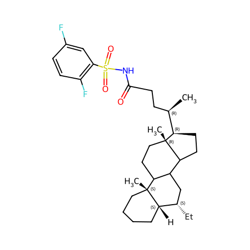 CC[C@H]1CC2C3CC[C@H]([C@H](C)CCC(=O)NS(=O)(=O)c4cc(F)ccc4F)[C@@]3(C)CCC2[C@@]2(C)CCCC[C@@H]12